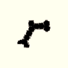 CCC(C)(C)c1cc(-c2ccc(-c3ccc(-c4ccc(N(c5ccccc5)c5ccc(-c6ccc(-n7c8ccccc8c8ccccc87)cc6)cc5)cc4)cc3)cc2)cc(C(C)(C)CC)c1